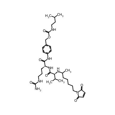 CC(C)CCNC(=O)OCc1ccc(NC(=O)[C@H](CCCNC(N)=O)NC(=O)[C@@H](NC(C)CCCCCN2C(=O)C=CC2=O)C(C)C)cc1